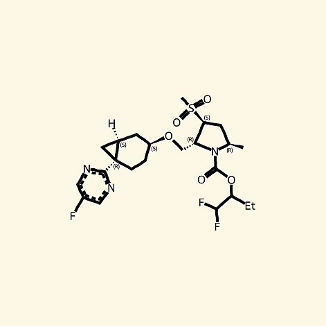 CCC(OC(=O)N1[C@H](C)C[C@H](S(C)(=O)=O)[C@H]1CO[C@H]1CC[C@@]2(c3ncc(F)cn3)C[C@H]2C1)C(F)F